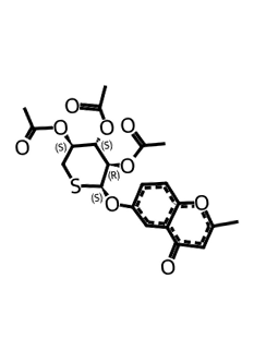 CC(=O)O[C@@H]1[C@@H](OC(C)=O)[C@@H](Oc2ccc3oc(C)cc(=O)c3c2)SC[C@H]1OC(C)=O